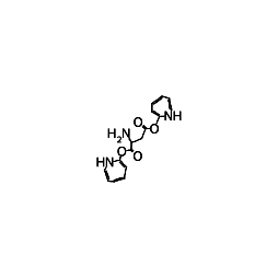 N[C@@H](CC(=O)OC1=CC=CC=CN1)C(=O)OC1=CC=CC=CN1